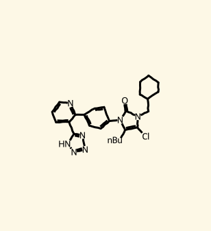 CCCCc1c(Cl)n(CC2CCCCC2)c(=O)n1-c1ccc(-c2ncccc2-c2nnn[nH]2)cc1